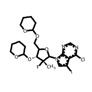 C[C@]1(F)C(n2cc(I)c3c(Cl)ncnc32)OC(COC2CCCCO2)[C@H]1OC1CCCCO1